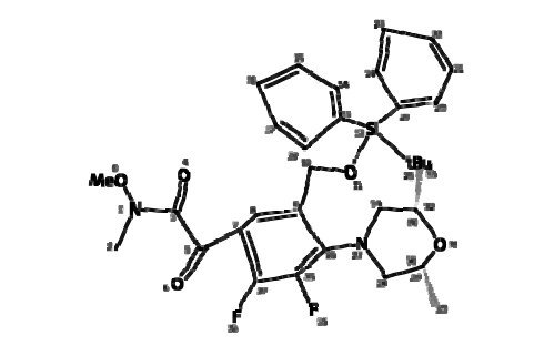 CON(C)C(=O)C(=O)c1cc(CO[Si](c2ccccc2)(c2ccccc2)C(C)(C)C)c(N2C[C@@H](C)O[C@@H](C)C2)c(F)c1F